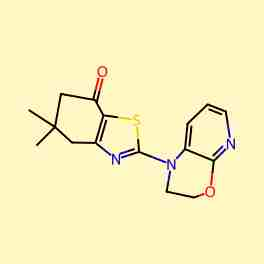 CC1(C)CC(=O)c2sc(N3CCOc4ncccc43)nc2C1